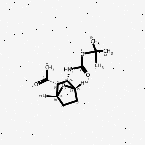 CC(=O)[C@@H]1[C@H](NC(=O)OC(C)(C)C)[C@@H]2CC[C@H]1O2